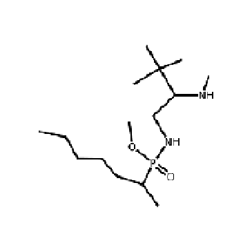 CCCCCC(C)P(=O)(NCC(NC)C(C)(C)C)OC